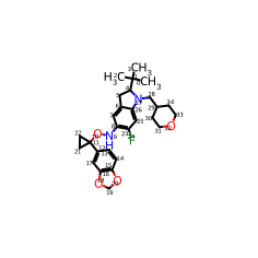 CC(C)(C)C1Cc2cc(NOC3(c4ccc5c(c4)OCO5)CC3)c(F)cc2N1CC1CCOCC1